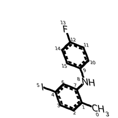 Cc1ccc(I)cc1Nc1ccc(F)cc1